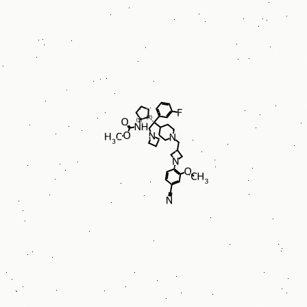 COC(=O)N[C@H]1CCC[C@@H]1C(CN1CCC1)(c1cccc(F)c1)C1CCN(CC2CN(c3ccc(C#N)cc3OC)C2)CC1